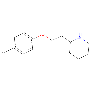 [CH2]c1ccc(OCCC2CCCCN2)cc1